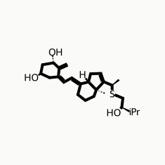 C=C1C(=CC=C2CCC[C@]3(C)C([C@@H](C)SC[C@H](O)C(C)C)=CC[C@@H]23)C[C@@H](O)C[C@@H]1O